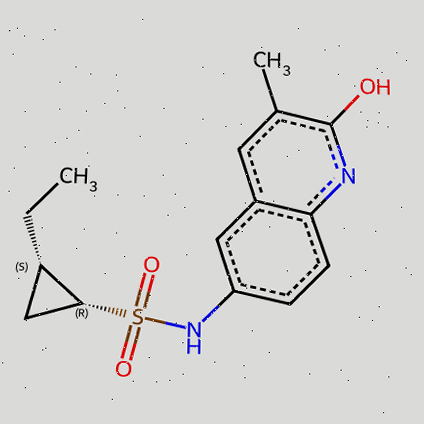 CC[C@H]1C[C@H]1S(=O)(=O)Nc1ccc2nc(O)c(C)cc2c1